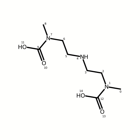 CN(CCNCCN(C)C(=O)O)C(=O)O